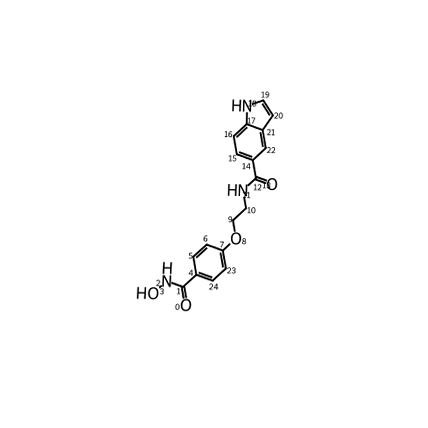 O=C(NO)c1ccc(OCCNC(=O)c2ccc3[nH]ccc3c2)cc1